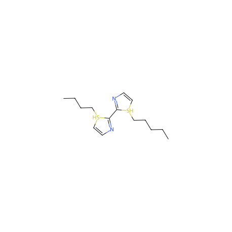 CCCCC[SH]1C=CN=C1C1=NC=C[SH]1CCCC